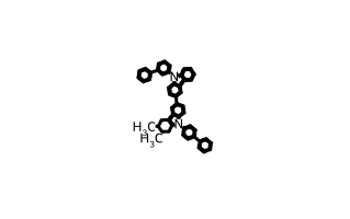 CC1Cc2c(n(-c3ccc(-c4ccccc4)cc3)c3ccc(-c4ccc5c(c4)c4ccccc4n5-c4cccc(-c5ccccc5)c4)cc23)CC1C